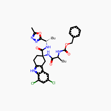 CCC(C)C(NC(=O)OCc1ccccc1)C(=O)N[C@]1(C(=O)N[C@H](c2nnc(C)o2)[C@@H](C)CC)CCc2[nH]c3c(Cl)cc(Cl)cc3c2C1